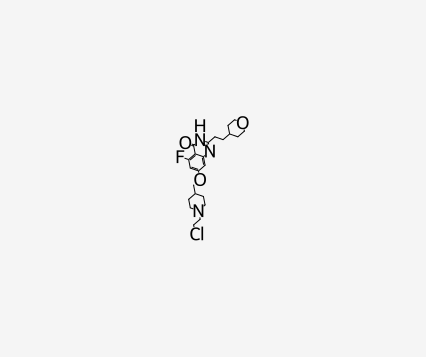 O=c1[nH]c(CCC2CCOCC2)nc2cc(OCC3CCN(CCCl)CC3)cc(F)c12